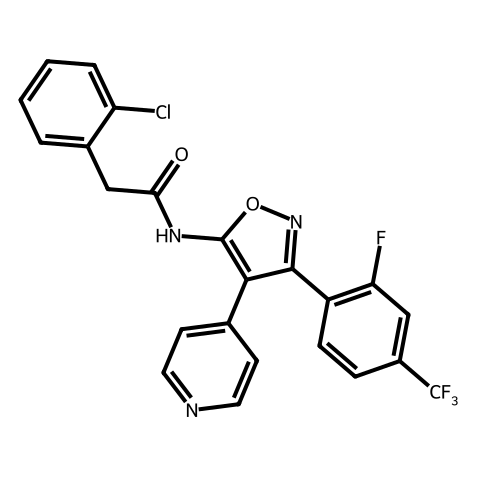 O=C(Cc1ccccc1Cl)Nc1onc(-c2ccc(C(F)(F)F)cc2F)c1-c1ccncc1